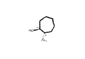 [CH2][C@H]1CCCCC[C@@H]1O